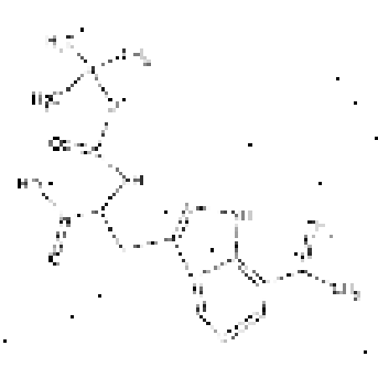 C=C(C)c1cccc2c(CC(NC(=O)OC(C)(C)C)C(=O)O)c[nH]c12